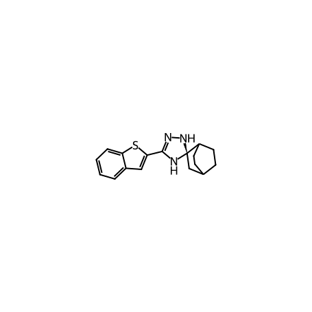 c1ccc2sc(C3=NN[C@@]4(CC5CCC4CC5)N3)cc2c1